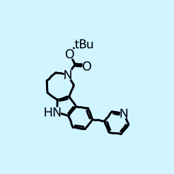 CC(C)(C)OC(=O)N1CCCc2[nH]c3ccc(-c4cccnc4)cc3c2C1